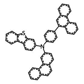 c1ccc2c(c1)ccc1ccc(N(c3ccc(-c4cc5ccccc5c5ccccc45)cc3)c3ccc4c(c3)sc3ccccc34)cc12